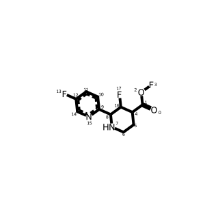 O=C(OF)C1CCNC(c2ccc(F)cn2)C1F